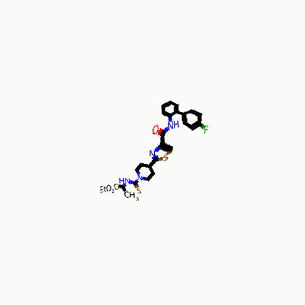 CCOC(=O)C(C)NC(=S)N1CCC(c2nc(C(=O)Nc3ccccc3-c3ccc(F)cc3)cs2)CC1